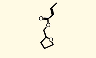 CC=CC(=O)OCC1CCCO1